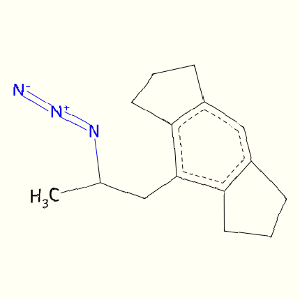 CC(Cc1c2c(cc3c1CCC3)CCC2)N=[N+]=[N-]